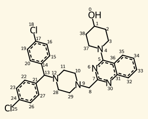 OC1CCN(c2nc(CN3CCN(C(c4ccc(Cl)cc4)c4ccc(Cl)cc4)CC3)nc3ccccc23)CC1